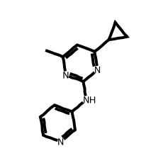 Cc1cc(C2CC2)nc(Nc2cccnc2)n1